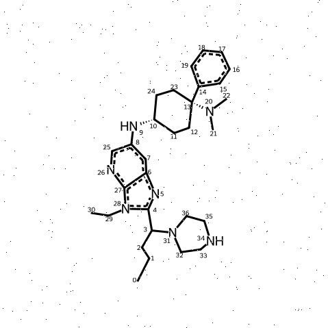 CCCC(c1nc2cc(N[C@H]3CC[C@@](c4ccccc4)(N(C)C)CC3)cnc2n1CC)N1CCNCC1